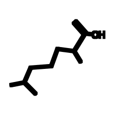 C=C(O)C(C)CCCC(C)C